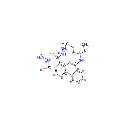 CCCC(CC)Nc1cc2c(C(=O)NN)c(C(=O)NN)ccc2c2ccccc12